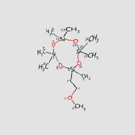 COCC[Si]1(C)O[Si](C)(C)O[Si](C)(C)O[Si](C)(C)O1